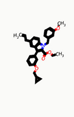 C=CCc1ccc2c(c1)c(-c1cccc(OCC3CC3)c1)c(C(=O)OCC)n2Cc1cccc(OC)c1